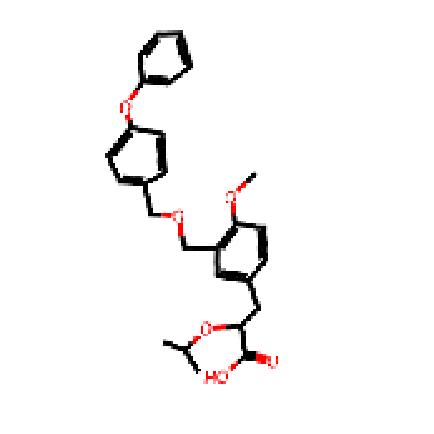 COc1ccc(CC(OC(C)C)C(=O)O)cc1COCc1ccc(Oc2ccccc2)cc1